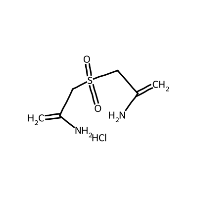 C=C(N)CS(=O)(=O)CC(=C)N.Cl